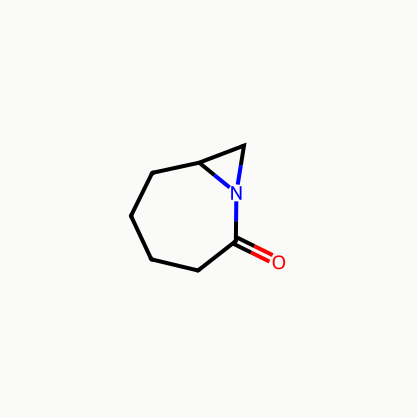 O=C1CCCCC2CN12